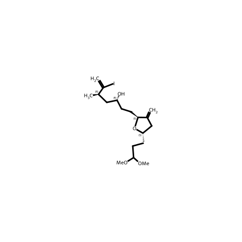 C=C(I)[C@H](C)C[C@H](O)CC[C@@H]1O[C@@H](CCC(OC)OC)CC1=C